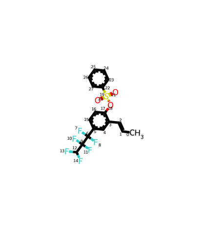 CC=Cc1cc(C(F)(F)C(F)(F)C(F)F)ccc1OS(=O)(=O)c1ccccc1